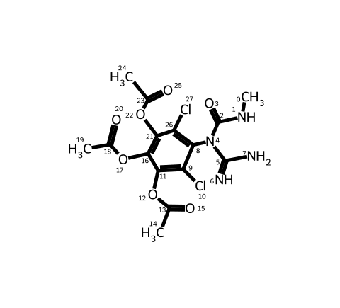 CNC(=O)N(C(=N)N)c1c(Cl)c(OC(C)=O)c(OC(C)=O)c(OC(C)=O)c1Cl